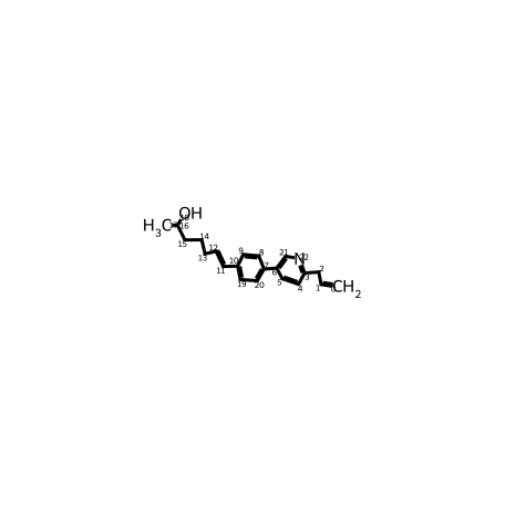 C=CCc1ccc(-c2ccc(C=CCCCC(C)O)cc2)cn1